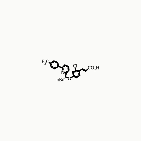 CCCC[C@@H](Oc1ccc(C=CC(=O)O)c(Cl)c1)c1cccc(-c2ccc(C(F)(F)F)cc2)n1